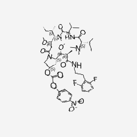 CC[C@H](C)[C@@H]([C@@H](CC(=O)N1C[C@@H](OC(=O)Oc2ccc([N+](=O)[O-])cc2)C[C@H]1[C@H](OC)[C@@H](C)C(=O)NCCc1c(F)cccc1F)OC)N(C)C(=O)[C@@H](NC(=O)[C@H](C(C)C)N(C)C)C(C)C